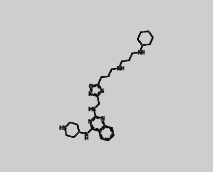 c1ccc2c(NC3CCNCC3)nc(NCc3noc(CCCNCCCNC4CCCCC4)n3)nc2c1